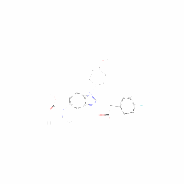 COC(=O)N1c2ccc3c(nc(C[C@H](C(=O)O)c4ccc(F)c(F)c4)n3C3CCC(OC)CC3)c2CC[C@@H]1C